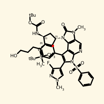 Cn1cc(-c2c(-c3ccc(CCCO)cc3)c3c(ncc4c3n([C@H]3C[C@H](NC(=O)OC(C)(C)C)[C@H](O[Si](C)(C)C(C)(C)C)C3)c(=O)n4C)n2S(=O)(=O)c2ccccc2)c(F)n1